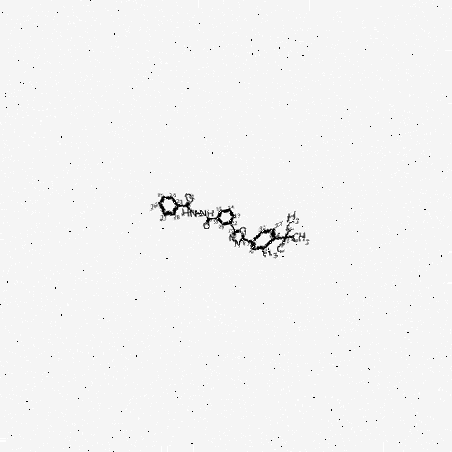 CC(C)(C)c1ccc(-c2nnc(-c3cccc(C(=O)NNC(=O)c4cc[c]cc4)c3)o2)cc1